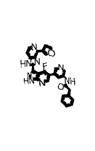 O=C(Cc1ccccc1)Nc1cncc(-c2cnc3[nH]nc(-c4nc5c(-c6ccoc6)nccc5[nH]4)c3c2F)c1